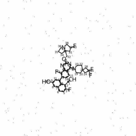 C#Cc1c(F)ccc2cc(O)cc(-c3ccc4c(N5CCC6(CC5)CC(F)(F)C6)nc(OCC56CCCN5CC(F)C6)nc4c3F)c12